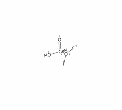 FOF.[O]=[GeH][OH]